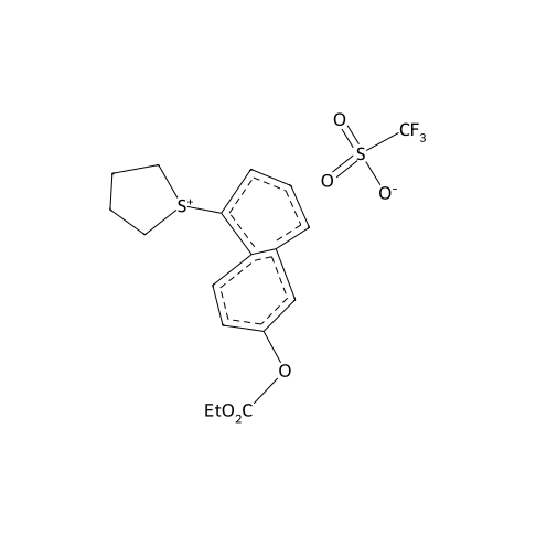 CCOC(=O)Oc1ccc2c([S+]3CCCC3)cccc2c1.O=S(=O)([O-])C(F)(F)F